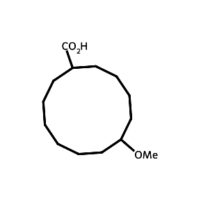 COC1CCCCCCC(C(=O)O)CCCC1